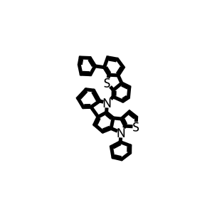 c1ccc(-c2cccc3c2sc2c(-n4c5ccccc5c5ccc6c(c7ccsc7n6-c6ccccc6)c54)cccc23)cc1